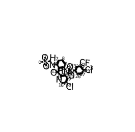 CS(=O)(=O)CNc1ccccc1C(=O)c1ncc(Cl)cc1NS(=O)(=O)c1ccc(Cl)c(C(F)(F)F)c1